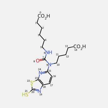 O=C(O)CCCCCNC(=O)N(CCCCC(=O)O)c1ccc2nc(S)sc2n1